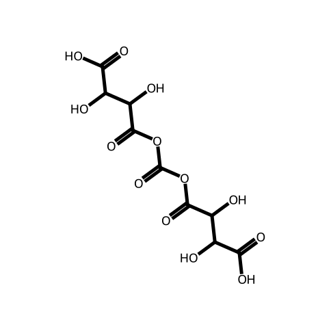 O=C(OC(=O)C(O)C(O)C(=O)O)OC(=O)C(O)C(O)C(=O)O